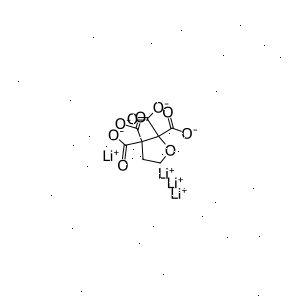 O=C([O-])C1(C(=O)[O-])CCOC1(C(=O)[O-])C(=O)[O-].[Li+].[Li+].[Li+].[Li+]